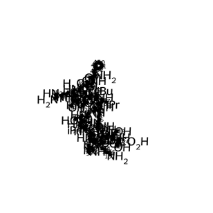 CC[C@H](C)[C@H](NC(=O)[C@H](CC(C)C)NC(=O)[C@H](C)NC(=O)[C@H](CO)NC(=O)[C@H](CCCNC(=N)N)NC(=O)[C@H](C)NC(=O)[C@H](CC(C)C)NC(=O)[C@@H](N)Cc1ccccc1)C(=O)N[C@@H](CC(C)C)C(=O)N[C@@H](CCCNC(=N)N)C(=O)NCC(=O)N[C@@H](CO)C(=O)N[C@H](C(=O)N[C@@H](C)C(=O)N[C@@H](Cc1c[nH]cn1)C(=O)N[C@@H](CCCCN)C(=O)N[C@@H](CO)C(=O)N[C@@H](CO)C(=O)N[C@H](C(=O)O)[C@@H](C)O)C(C)C